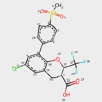 CS(=O)(=O)c1ccc(-c2cc(Cl)cc3c2OC(C(F)(F)F)C(C(=O)O)C3)cc1